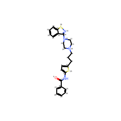 O=C(Nc1ccc(CCCN2CCN(c3nsc4ccccc34)CC2)s1)c1ccccc1